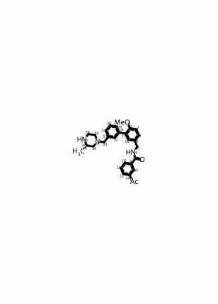 COc1ccc(CNC(=O)c2cccc(C(C)=O)c2)cc1-c1cccc(CN2CCN[C@@H](C)C2)c1